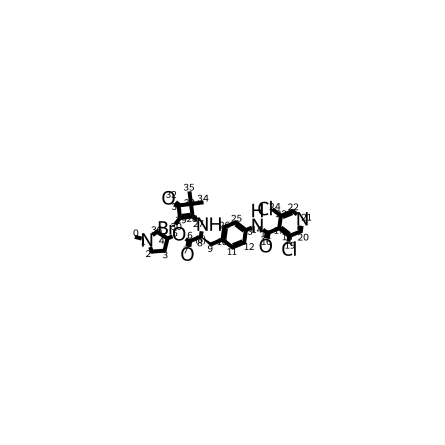 CN1CCC(OC(=O)[C@H](Cc2ccc(NC(=O)c3c(Cl)cncc3Cl)cc2)NC2=C(Br)C(=O)C2(C)C)C1